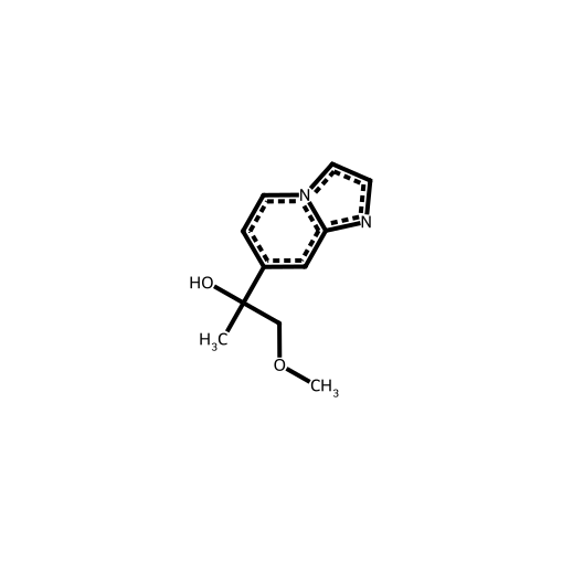 COCC(C)(O)c1ccn2ccnc2c1